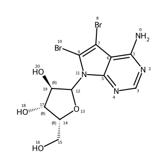 Nc1ncnc2c1c(Br)c(Br)n2C1O[C@H](CO)[C@H](O)[C@H]1O